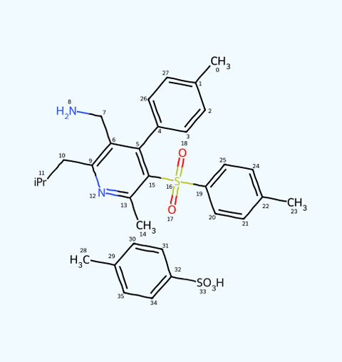 Cc1ccc(-c2c(CN)c(CC(C)C)nc(C)c2S(=O)(=O)c2ccc(C)cc2)cc1.Cc1ccc(S(=O)(=O)O)cc1